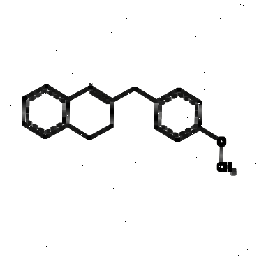 COc1ccc(CC2=[C]c3ccccc3CC2)cc1